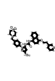 CC(C)(C)c1cc(NC(=O)Nc2ccc(OCCc3cccnc3)c3ccccc23)n(-c2ccc(CN3CCS(=O)(=O)CC3)cc2)n1